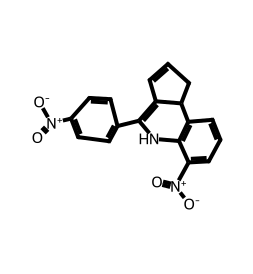 O=[N+]([O-])c1ccc(C2=C3C=CCC3c3cccc([N+](=O)[O-])c3N2)cc1